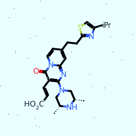 CC(C)c1csc(CCc2ccn3c(=O)c(/C=C/C(=O)O)c(N4C[C@@H](C)N[C@@H](C)C4)nc3c2)n1